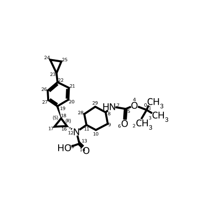 CC(C)(C)OC(=O)NC1CCC(N(C(=O)O)[C@@H]2C[C@H]2c2ccc(C3CC3)cc2)CC1